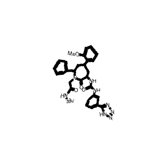 COc1ccccc1C1CC(NC(=O)Nc2cccc(-c3nnn[nH]3)c2)C(=O)N(CC(=O)NC(C)(C)C)C(c2ccccc2)C1